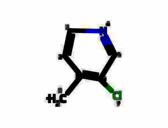 [CH2]c1ccncc1Cl